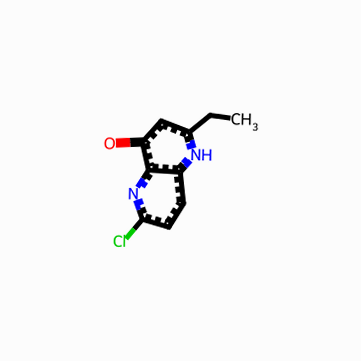 CCc1cc(=O)c2nc(Cl)ccc2[nH]1